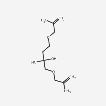 C=C(C)COCCC(O)(O)COCC(=C)C